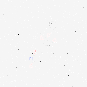 COc1cc(CCCC2SC(=O)NC2=O)cc(OC)c1OCc1ccccc1